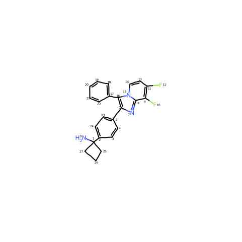 NC1(c2ccc(-c3nc4c(F)c(F)ccn4c3-c3ccccc3)cc2)CCC1